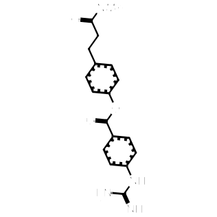 CNC(=O)CCc1ccc(OC(=O)c2ccc(NC(=N)N)cc2)cc1